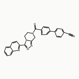 N#Cc1ccc(-c2ccc(C(=O)N3CCn4c(nnc4-c4ccc5ccccc5n4)C3)cc2)cc1